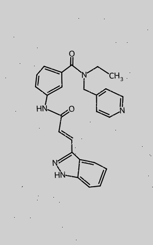 CCN(Cc1ccncc1)C(=O)c1cccc(NC(=O)C=Cc2n[nH]c3ccccc23)c1